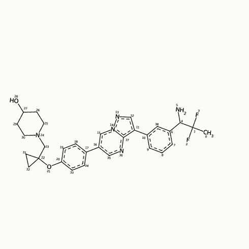 CC(F)(F)C(N)c1cccc(-c2cnn3cc(-c4ccc(OC5(CN6CCC(O)CC6)CC5)cc4)cnc23)c1